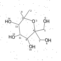 CC1(C)OC(CO)(CO)C(O)C(O)C1O